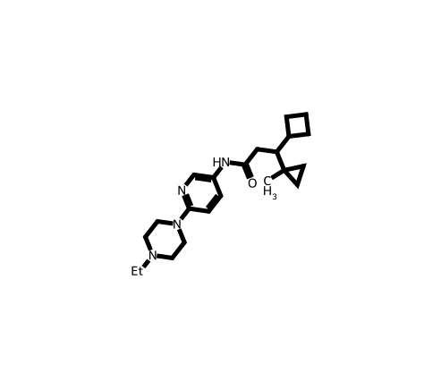 CCN1CCN(c2ccc(NC(=O)CC(C3CCC3)C3(C)CC3)cn2)CC1